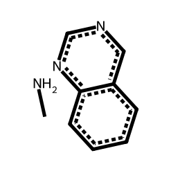 CN.c1ccc2ncncc2c1